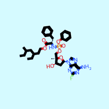 CCC(C)CC(CC)CCOC(=O)[C@H](Cc1ccccc1)NP(=O)(OC[C@@]1(C)O[C@@H](n2cnc3c(N)nc(F)nc32)C[C@@H]1O)Oc1ccccc1